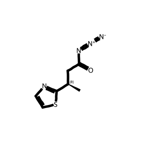 C[C@H](CC(=O)N=[N+]=[N-])c1nccs1